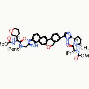 CCC[C@H](C)N(Cc1nc2ccc3cc4c(cc3c2[nH]1)OCc1cc(-c2cnc([C@@H]3CC[C@H](C)N3C(=O)[C@@H](NC(=O)OC)C(C)C)[nH]2)ccc1-4)C(=O)[C@@H](NC(=O)OC)[C@@H]1CCCOC1